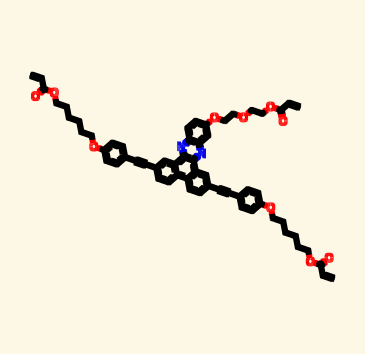 C=CC(=O)OCCCCCCOc1ccc(C#Cc2ccc3c4ccc(C#Cc5ccc(OCCCCCCOC(=O)C=C)cc5)cc4c4nc5cc(OCCOCCOC(=O)C=C)ccc5nc4c3c2)cc1